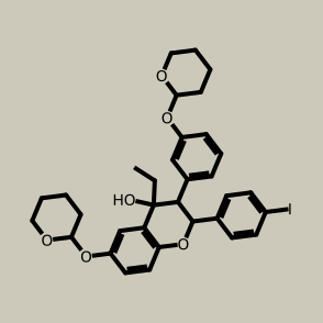 CCC1(O)c2cc(OC3CCCCO3)ccc2OC(c2ccc(I)cc2)C1c1cccc(OC2CCCCO2)c1